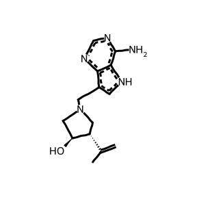 C=C(C)[C@H]1CN(Cc2c[nH]c3c(N)ncnc23)C[C@@H]1O